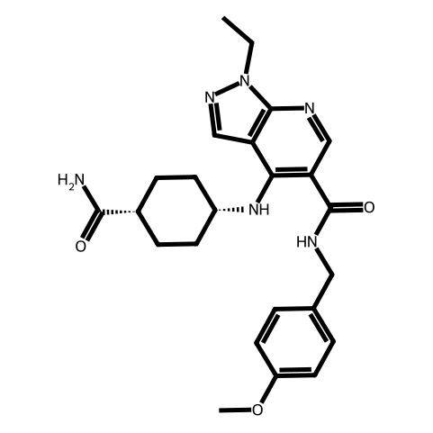 CCn1ncc2c(N[C@H]3CC[C@@H](C(N)=O)CC3)c(C(=O)NCc3ccc(OC)cc3)cnc21